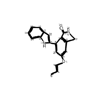 CCCOc1cc2c(c(-c3cc4ccccc4[nH]3)c1)C(=O)NC2